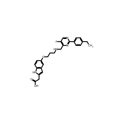 CCc1ccc(-c2ncc(F)c(CNCCCOc3ccc4[nH]c(CC(=O)O)cc4c3)n2)cc1